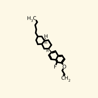 C=CCOc1ccc2cc([C@@H]3CC[C@@H]4CC(CCCCC)CCC4C3)ccc2c1F